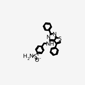 N[S+]([O-])c1ccc(CNc2nc(-c3ccccc3)nc3scc(-c4ccccc4)c23)cc1